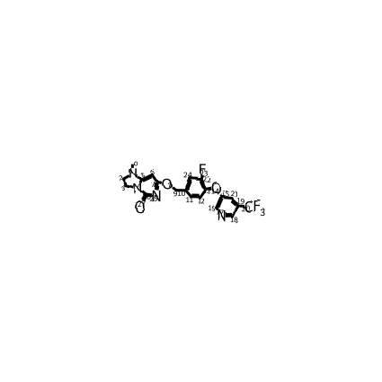 CN1CCn2c1cc(OCc1ccc(Oc3cncc(C(F)(F)F)c3)c(F)c1)nc2=O